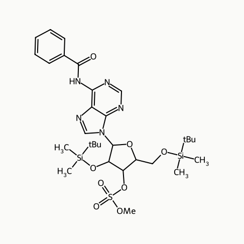 COS(=O)(=O)OC1C(CO[Si](C)(C)C(C)(C)C)OC(n2cnc3c(NC(=O)c4ccccc4)ncnc32)C1O[Si](C)(C)C(C)(C)C